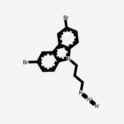 [N-]=[N+]=NCCCn1c2ccc(Br)cc2c2cc(Br)ccc21